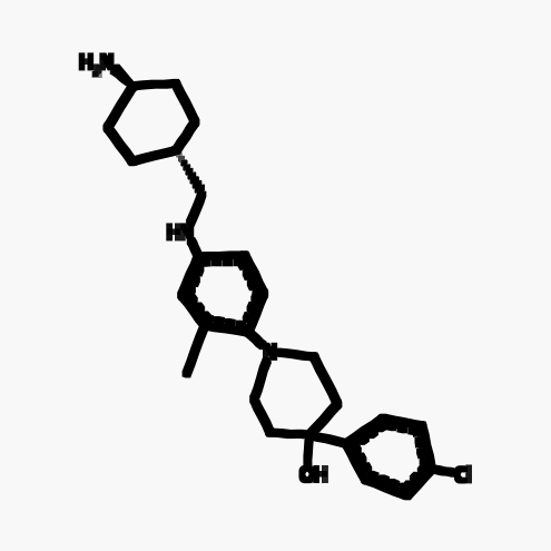 Cc1cc(NC[C@H]2CC[C@H](N)CC2)ccc1N1CCC(O)(c2ccc(Cl)cc2)CC1